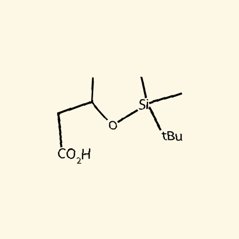 CC(CC(=O)O)O[Si](C)(C)C(C)(C)C